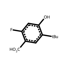 CC(C)(C)c1cc(C(=O)O)c(F)cc1O